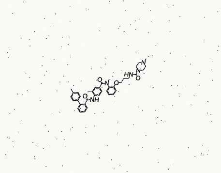 Cc1ccc(-c2ccccc2C(=O)Nc2ccc(C(=O)N(C)c3ccccc3OCCCNC(=O)N3CCN(C)CC3)cc2C)cc1